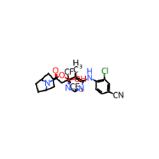 Cc1c(Nc2ccc(C#N)cc2Cl)ncnc1OC1CC2CCC(C1)N2C(=O)CC(O)(C(F)(F)F)C(F)(F)F